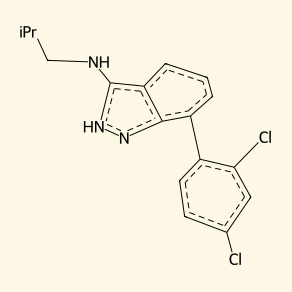 CC(C)CNc1[nH]nc2c(-c3ccc(Cl)cc3Cl)cccc12